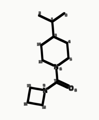 CC(C)C1CCN(C(=O)N2CCC2)CC1